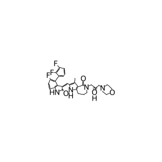 Cc1c(C=C2C(=O)Nc3ccc(F)c(-c4cccc(F)c4F)c32)[nH]c2c1C(=O)N(C[C@@H](O)CN1CCOCC1)CCC2